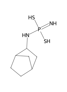 N=P(S)(S)NC1CC2CCC1C2